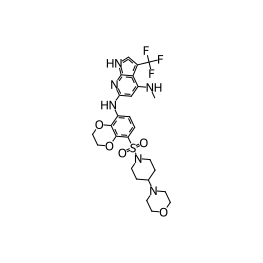 CNc1cc(Nc2ccc(S(=O)(=O)N3CCC(N4CCOCC4)CC3)c3c2OCCO3)nc2[nH]cc(C(F)(F)F)c12